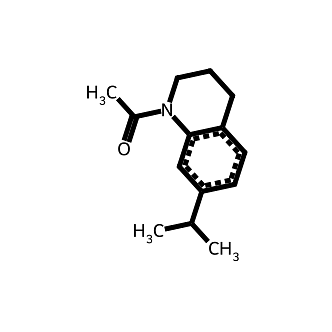 CC(=O)N1CCCc2ccc(C(C)C)cc21